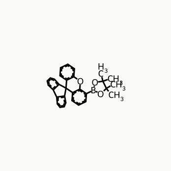 CC1(C)OB(c2cccc3c2Oc2ccccc2C32c3ccccc3-c3ccccc32)OC1(C)C